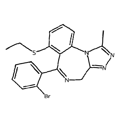 CCSc1cccc2c1C(c1ccccc1Br)=NCc1nnc(C)n1-2